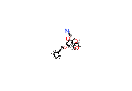 COC1(c2cc(OCC#N)cc(OCC#Cc3ccccc3)c2)CCOCC1